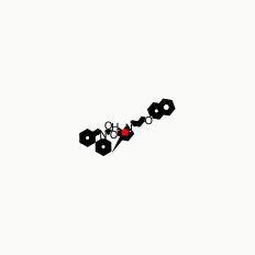 O=C(O[C@H]1C[N+]2(CCCOc3ccc4c(c3)CCCC4)CCC1CC2)N(Cc1ccccc1)c1ccccc1